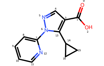 O=C(O)c1cnn(-c2ccccn2)c1C1CC1